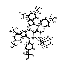 CC1C2=C3B(c4sc5c(C(C)(C)C)cc(C(C)(C)C)cc5c4N(c4ccc(C(C)(C)C)cc4)C3=CC1C13CC4CC(CC(C4)C1)C3)c1sc3c(C(C)(C)C)cc(C(C)(C)C)cc3c1N2c1ccc(C(C)(C)C)cc1